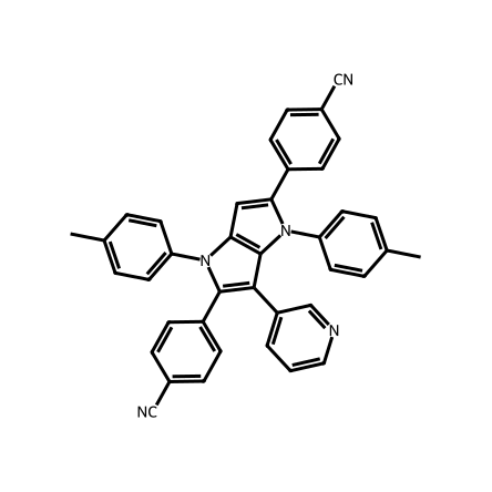 Cc1ccc(-n2c(-c3ccc(C#N)cc3)c(-c3cccnc3)c3c2cc(-c2ccc(C#N)cc2)n3-c2ccc(C)cc2)cc1